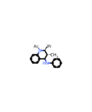 CC(=O)N1c2ccccc2C(Nc2ccccc2)[C@@H](C)[C@@H]1C(C)C